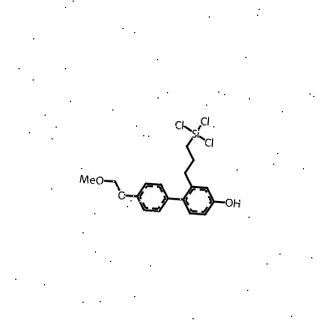 COCOc1ccc(-c2ccc(O)cc2CCC[Si](Cl)(Cl)Cl)cc1